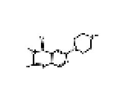 Cc1nc2ccc(N3CCN(C)CC3)cc2c(=O)n1C